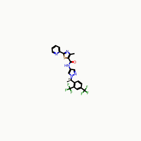 Cc1nc(-c2ccccn2)sc1C(=O)Nc1cnn([C@H](C)c2ccc(C(F)(F)F)cc2C(F)(F)F)c1